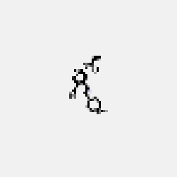 C=CC(=O)Nc1cc(/C=C/C2CCC(F)(F)CC2)c(C#N)cn1